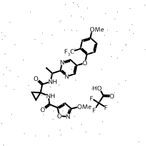 COc1ccc(Oc2cnc(C(C)NC(=O)C3(NC(=O)c4cc(OC)no4)CC3)nc2)c(C(F)(F)F)c1.O=C(O)C(F)(F)F